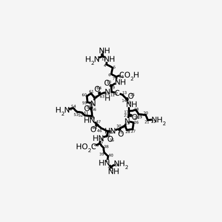 N=C(N)NCCCC(NC(=O)C1CCC(=O)NC(CCCCN)C(=O)N2CCCC2C(=O)NC(C(=O)NC(CCCNC(=N)N)C(=O)O)CC(=O)NC(CCCCN)C(=O)N2CCCC2C(=O)N1)C(=O)O